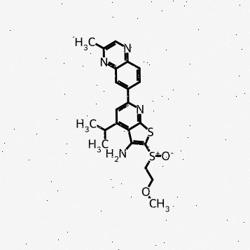 COCC[S+]([O-])c1sc2nc(-c3ccc4ncc(C)nc4c3)cc(C(C)C)c2c1N